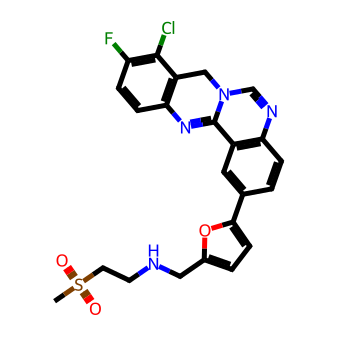 CS(=O)(=O)CCNCc1ccc(-c2ccc3c(c2)C2=Nc4ccc(F)c(Cl)c4CN2C=N3)o1